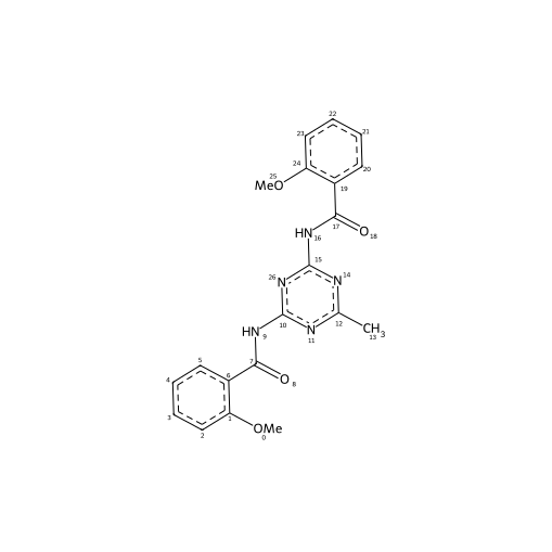 COc1ccccc1C(=O)Nc1nc(C)nc(NC(=O)c2ccccc2OC)n1